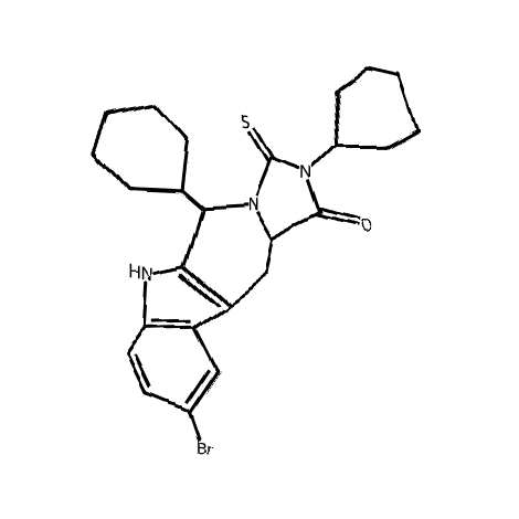 O=C1C2Cc3c([nH]c4ccc(Br)cc34)C(C3CCCCC3)N2C(=S)N1C1CCCCC1